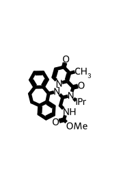 COC(=O)NCC1N(C(C)C)C(=O)c2c(C)c(=O)ccn2N1C1c2ccccc2CCc2ccccc21